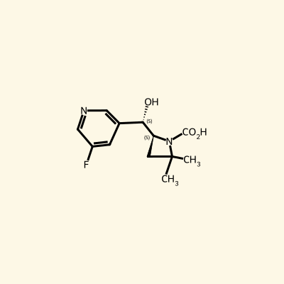 CC1(C)C[C@@H]([C@@H](O)c2cncc(F)c2)N1C(=O)O